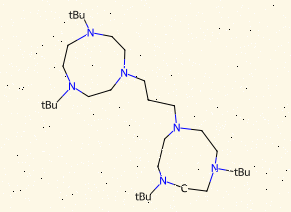 CC(C)(C)N1CCN(CCCN2CCN(C(C)(C)C)CCN(C(C)(C)C)CC2)CCN(C(C)(C)C)CC1